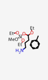 CCOC(CCCN)O[Si](OC)(OCC)OCC.Cc1ccccc1